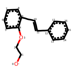 [O]CCOc1ccccc1C=Cc1ccccc1